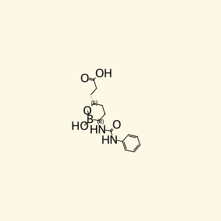 O=C(O)CC[C@@H]1CC[C@H](NC(=O)Nc2ccccc2)B(O)O1